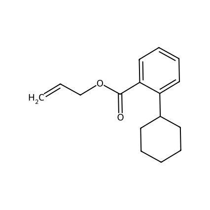 C=CCOC(=O)c1ccccc1C1CCCCC1